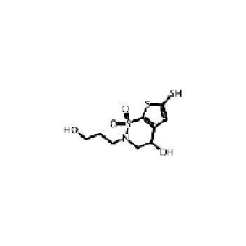 O=S1(=O)c2sc(S)cc2C(O)CN1CCCO